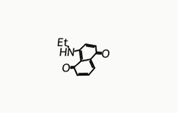 CCNC1=C2C(=O)C=CC=C2C(=O)C=C1